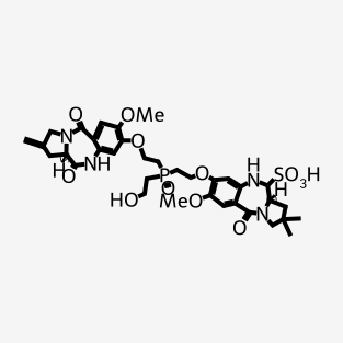 C=C1C[C@H]2C(=O)Nc3cc(OCCP(=O)(CCO)CCOc4cc5c(cc4OC)C(=O)N4CC(C)(C)C[C@H]4C(S(=O)(=O)O)N5)c(OC)cc3C(=O)N2C1